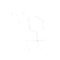 CCS(=O)(=O)N1CCNC(C(P)(I)PC)C1